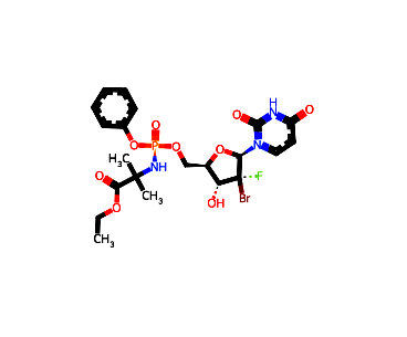 CCOC(=O)C(C)(C)N[P@@](=O)(OC[C@H]1O[C@@H](n2ccc(=O)[nH]c2=O)[C@@](F)(Br)[C@@H]1O)Oc1ccccc1